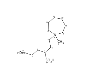 CCCCCCCCCCCCC(CC[N+]1(C)CCCCCC1)S(=O)(=O)O